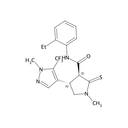 CCc1ccccc1NC(=O)[C@H]1C(=S)N(C)C[C@@H]1c1cnn(C)c1C(F)(F)F